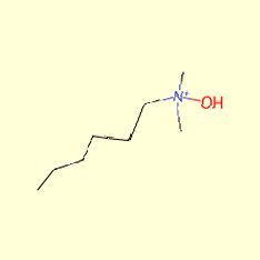 CCCCCC[N+](C)(C)O